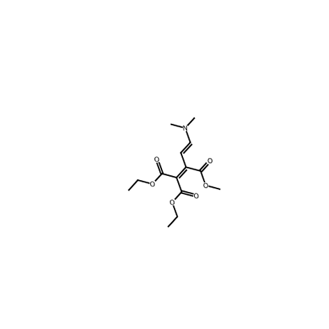 CCOC(=O)C(C(=O)OCC)=C(/C=C/N(C)C)C(=O)OC